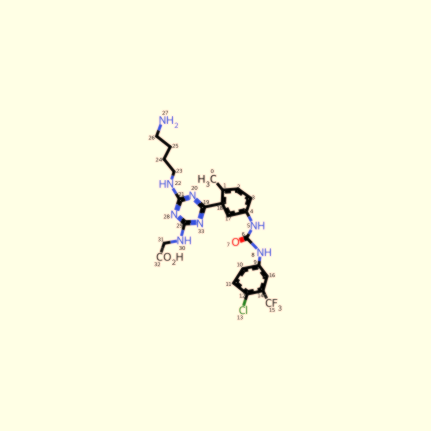 Cc1ccc(NC(=O)Nc2ccc(Cl)c(C(F)(F)F)c2)cc1-c1nc(NCCCCN)nc(NCC(=O)O)n1